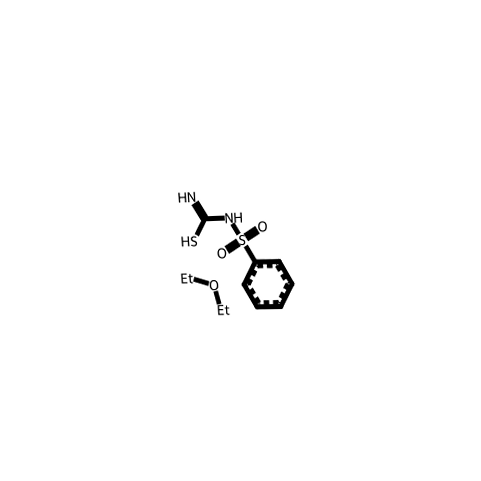 CCOCC.N=C(S)NS(=O)(=O)c1ccccc1